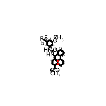 COC(=O)c1ccc(C(NC(=O)Nc2cc(OC)cc(C(F)(F)F)c2)c2ccccc2C2CCCCC2)cc1